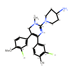 COc1ccc(C2=C(c3ccc(C#N)c(F)c3)N=C(N3CCC(N)CC3)N(C)C2)cc1F